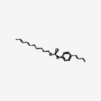 CCCCCCCCCCOC(=O)Oc1ccc(CCCC)cc1